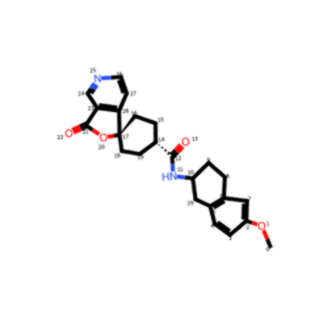 COc1ccc2c(c1)CCC(NC(=O)[C@H]1CC[C@@]3(CC1)OC(=O)c1cnccc13)C2